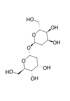 OC[C@H]1O[C@H](O[C@@H]2C[C@H](O)[C@H](O)[C@@H](CO)O2)C[C@H](O)[C@@H]1O